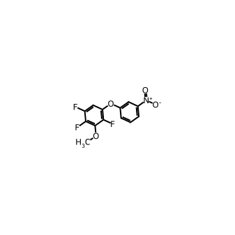 COc1c(F)c(F)cc(Oc2cccc([N+](=O)[O-])c2)c1F